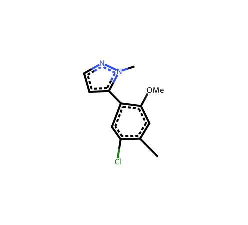 COc1cc(C)c(Cl)cc1-c1ccnn1C